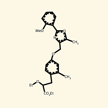 CCOC(=O)C(Cc1ccc(OCc2nc(-c3ccccc3OC)oc2C)cc1C)OCC